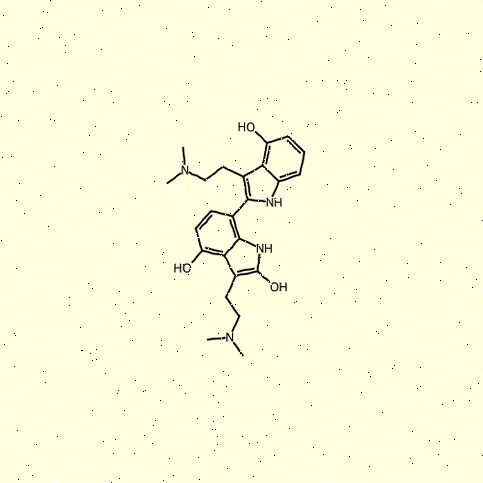 CN(C)CCc1c(-c2ccc(O)c3c(CCN(C)C)c(O)[nH]c23)[nH]c2cccc(O)c12